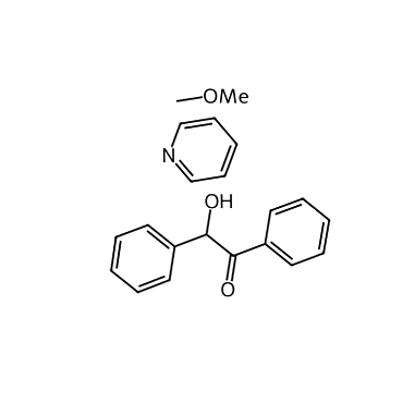 COC.O=C(c1ccccc1)C(O)c1ccccc1.c1ccncc1